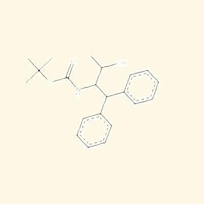 CC(O)C(NC(=O)OC(C)(C)C)C(c1ccccc1)c1ccccc1